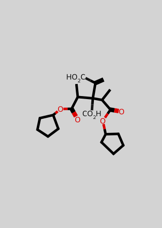 C=C(C(=O)O)C(C(=O)O)(C(C)C(=O)OC1CCCC1)C(C)C(=O)OC1CCCC1